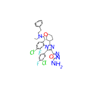 CCN(CCc1ccccc1)C(=O)Cc1ccc(Cl)c(F)c1-n1c(C2CCCCC2)nc(-c2nnc(N)o2)c1-c1ccc(F)c(Cl)c1